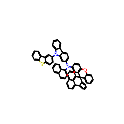 c1ccc2c(c1)Oc1ccc(N(c3ccc4c5ccccc5n(-c5ccc6sc7ccccc7c6c5)c4c3)c3cccc4ccccc34)cc1C21c2ccccc2-c2cccc3cccc1c23